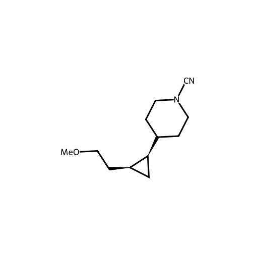 COCC[C@@H]1C[C@@H]1C1CCN(C#N)CC1